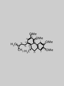 COc1cc2c(cc1OC)-c1c(OC)c(OC)cc(CCN(C)C)c1[C@H](C)C2